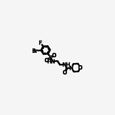 O=C(NCCNS(=O)(=O)c1ccc(F)c(Br)c1)N1CCOCC1